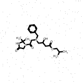 CC(C)COC(=O)CC(O)CN(CC(=O)N1CC(=O)NC1(C)C)Cc1ccccc1